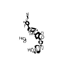 N#CCOc1ccc(-c2cnc3c(Nc4ccc(C(=O)N5CCN(C(=O)N6CCN(CO)CC6)CC5)c(Cl)c4)nccn23)c(F)c1F.O=CO